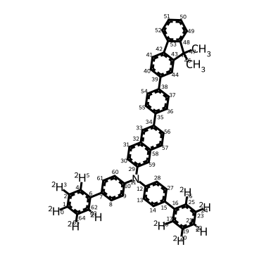 [2H]c1c([2H])c([2H])c(-c2ccc(N(c3ccc(-c4c([2H])c([2H])c([2H])c([2H])c4[2H])cc3)c3ccc4cc(-c5ccc(-c6ccc7c(c6)C(C)(C)c6ccccc6-7)cc5)ccc4c3)cc2)c([2H])c1[2H]